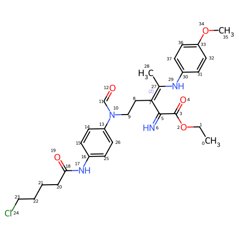 CCOC(=O)C(=N)/C(CCN(C=O)c1ccc(NC(=O)CCCCCl)cc1)=C(/C)Nc1ccc(OC)cc1